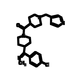 C/N=C(\c1ccc(Cl)cc1)C1CCN(C(=O)C2CCN(Cc3ccncc3)CC2)CC1